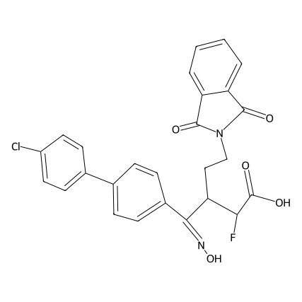 O=C(O)C(F)C(CCN1C(=O)c2ccccc2C1=O)/C(=N\O)c1ccc(-c2ccc(Cl)cc2)cc1